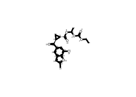 CCOC(=O)OC(C)OC(=O)[C@H]1C[C@@H]1C(=O)c1cc(Cl)c2oc(C)cc2c1